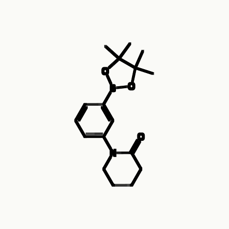 CC1(C)OB(c2cccc(N3CCCCC3=O)c2)OC1(C)C